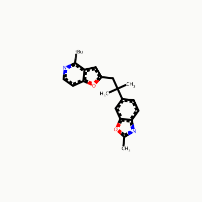 Cc1nc2ccc(C(C)(C)Cc3cc4c(C(C)(C)C)nccc4o3)cc2o1